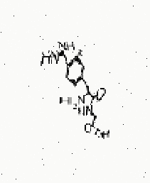 N=C(N)c1ccc(CC(N)C(=O)NCC(=O)O)cc1